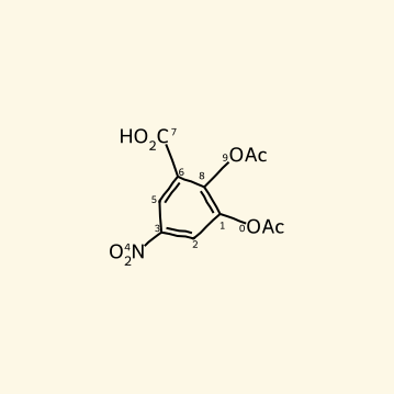 CC(=O)Oc1cc([N+](=O)[O-])cc(C(=O)O)c1OC(C)=O